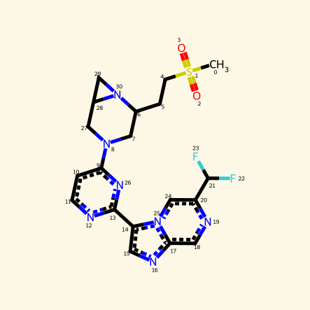 CS(=O)(=O)CCC1CN(c2ccnc(-c3cnc4cnc(C(F)F)cn34)n2)CC2CN12